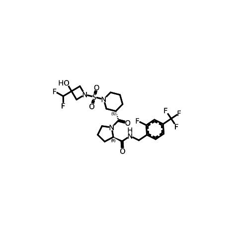 O=C(NCc1ccc(C(F)(F)F)cc1F)[C@H]1CCCN1C(=O)[C@H]1CCCN(S(=O)(=O)N2CC(O)(C(F)F)C2)C1